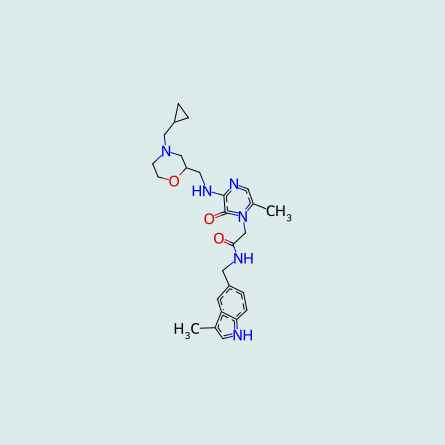 Cc1c[nH]c2ccc(CNC(=O)Cn3c(C)cnc(NCC4CN(CC5CC5)CCO4)c3=O)cc12